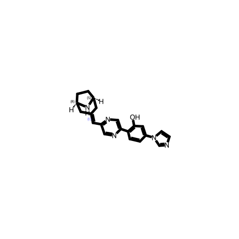 Oc1cc(-n2ccnc2)ccc1-c1cnc(/C=C2/C[C@H]3CC[C@@H](C2)N3)cn1